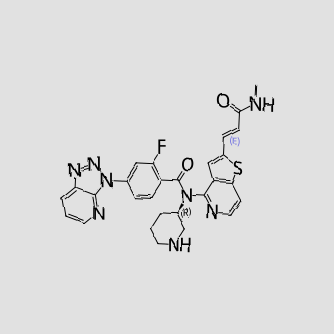 CNC(=O)/C=C/c1cc2c(N(C(=O)c3ccc(-n4nnc5cccnc54)cc3F)[C@@H]3CCCNC3)nccc2s1